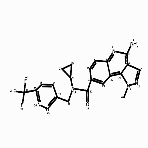 Cn1ncc2c(N)nc3ccc(C(=O)N(Cc4ccc(C(F)(F)F)nn4)C4CC4)cc3c21